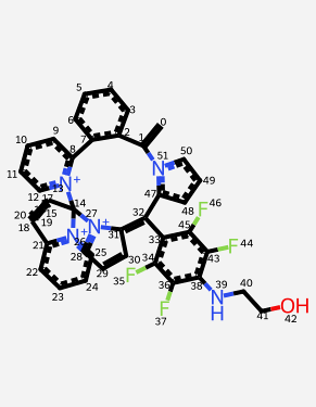 C=C1c2ccccc2-c2cccc[n+]2C2(c3ccccc3-c3cccc[n+]32)[N+]2=CC=C/C2=C(\c2c(F)c(F)c(NCCO)c(F)c2F)c2cccn21